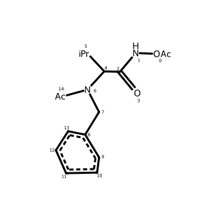 CC(=O)ONC(=O)C(C(C)C)N(Cc1ccccc1)C(C)=O